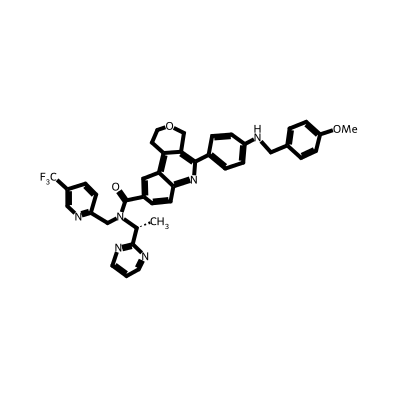 COc1ccc(CNc2ccc(-c3nc4ccc(C(=O)N(Cc5ccc(C(F)(F)F)cn5)[C@H](C)c5ncccn5)cc4c4c3COCC4)cc2)cc1